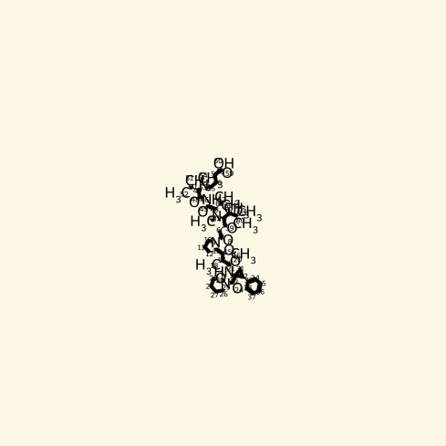 CC[C@H](C)[C@@H]([C@@H](CC(=O)N1CCC[C@H]1[C@H](OC)[C@@H](C)C(=O)N[C@@]1(C(=O)N2CCCCO2)C[C@@H]1c1ccccc1)OC)N(C)[C@H](C(=O)NC(=O)[C@H](C(C)C)N(C)CCCC(=O)O)C(C)C